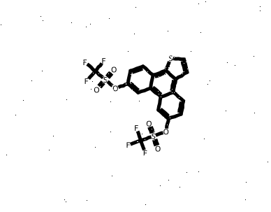 O=S(=O)(Oc1ccc2c(c1)c1cc(OS(=O)(=O)C(F)(F)F)ccc1c1sccc21)C(F)(F)F